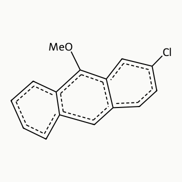 COc1c2ccccc2cc2ccc(Cl)cc12